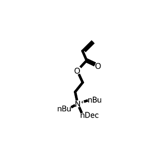 C=CC(=O)OCC[N+](CCCC)(CCCC)CCCCCCCCCC